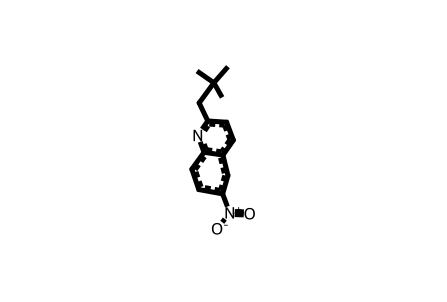 CC(C)(C)Cc1ccc2cc([N+](=O)[O-])ccc2n1